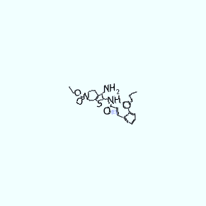 CCCOc1ccccc1/C=C/C(=O)Nc1sc2c(c1N)CCN(C(=O)OCC)C2